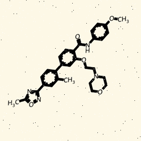 COc1ccc(NC(=O)c2ccc(-c3ccc(-c4noc(C)n4)cc3C)cc2OCCN2CCOCC2)cc1